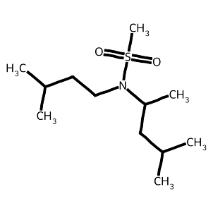 CC(C)CCN(C(C)CC(C)C)S(C)(=O)=O